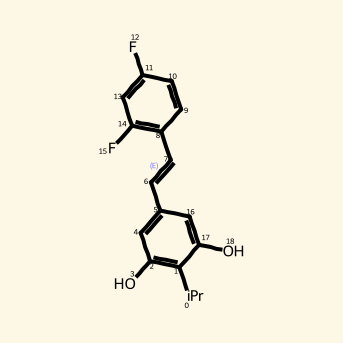 CC(C)c1c(O)cc(/C=C/c2ccc(F)cc2F)cc1O